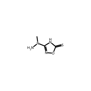 CN(N)c1noc(=S)[nH]1